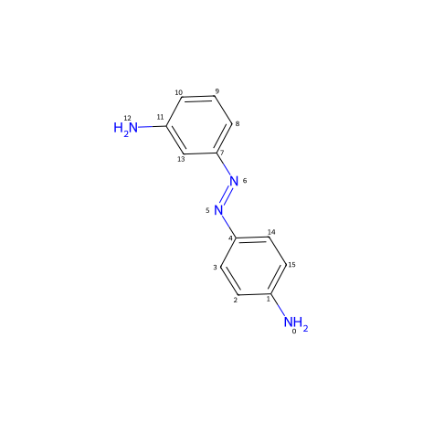 Nc1ccc(/N=N/c2cccc(N)c2)cc1